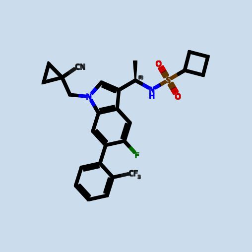 C[C@@H](NS(=O)(=O)C1CCC1)c1cn(CC2(C#N)CC2)c2cc(-c3ccccc3C(F)(F)F)c(F)cc12